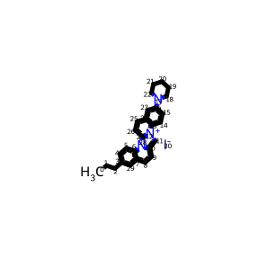 CCCc1ccc2c(ccc3c[n+]4c5ccc(N6CCCCC6)cc5ccc4n32)c1.[I-]